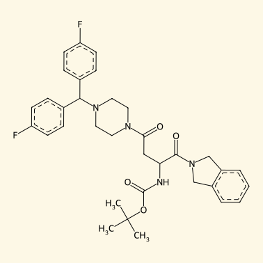 CC(C)(C)OC(=O)NC(CC(=O)N1CCN(C(c2ccc(F)cc2)c2ccc(F)cc2)CC1)C(=O)N1Cc2ccccc2C1